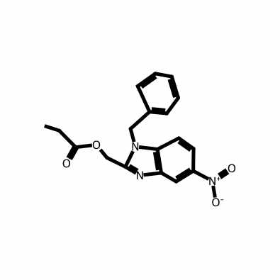 CCC(=O)OCc1nc2cc([N+](=O)[O-])ccc2n1Cc1ccccc1